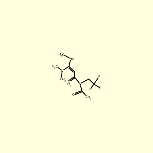 C=C(/C=C(/NC)N(C)C)N(CC(F)(F)F)C(C)=O